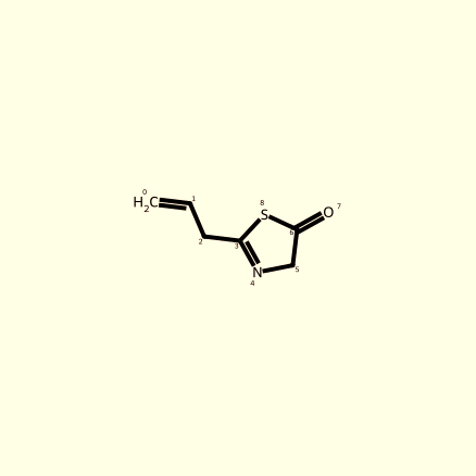 C=CCC1=NCC(=O)S1